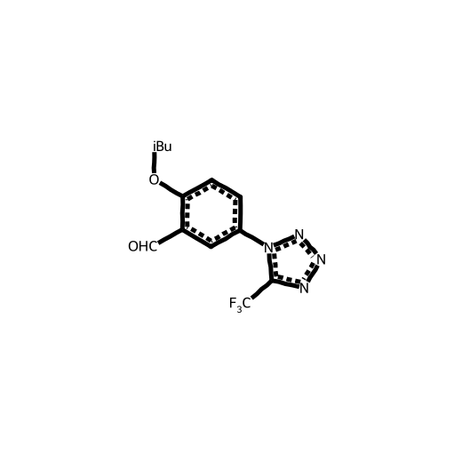 CCC(C)Oc1ccc(-n2nnnc2C(F)(F)F)cc1C=O